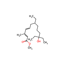 CCC(CC=CC(C)=CC(=O)OC)CCCC(O)(CC)CC